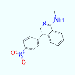 CNC1=NCC(c2ccc([N+](=O)[O-])cc2)c2ccccc21